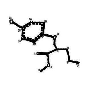 COC(=O)C(CCBr)Oc1cnc(Cl)nc1